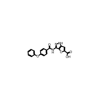 O=C(Nc1n[nH]c2cc(C(=O)O)oc12)c1ccc(Oc2ccccc2)cc1